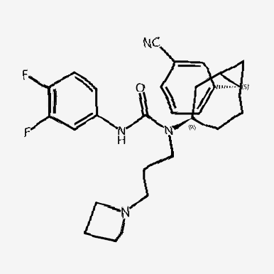 N#Cc1cccc([C@]23CC[C@@H](N(CCCN4CCC4)C(=O)Nc4ccc(F)c(F)c4)CC2C3)c1